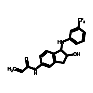 C=CC(=O)Nc1ccc2c(c1)CC(O)C2Nc1cccc(C(F)(F)F)c1